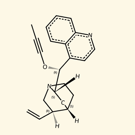 C=C[C@H]1CN2CC[C@H]1C[C@H]2[C@H](OC#CC)c1ccnc2ccccc12